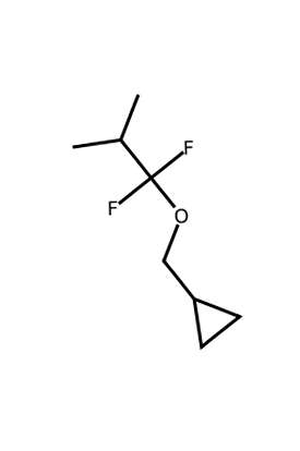 CC(C)C(F)(F)OCC1CC1